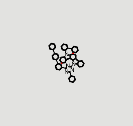 c1ccc(-c2ccc(-c3cccc(-c4nc(-c5ccccc5)nc(-n5c6ccccc6c6ccc7c(c8ccccc8n7-c7ccccc7-c7ccccc7)c65)n4)c3)cc2)cc1